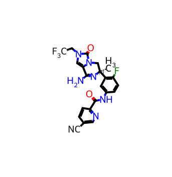 C[C@@]1(c2cc(NC(=O)c3ccc(C#N)cn3)ccc2F)Cn2c(cn(CC(F)(F)F)c2=O)C(N)=N1